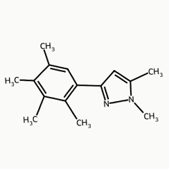 Cc1cc(-c2cc(C)n(C)n2)c(C)c(C)c1C